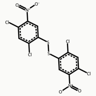 O=[N+]([O-])c1cc(SSc2cc([N+](=O)[O-])c(Cl)cc2Cl)c(Cl)cc1Cl